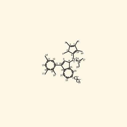 CC1=C(C)C(C)[C]([Zr+2]([CH]2C=C(c3cc(C)cc(C)c3C)c3ccccc32)=[Si](C)C)=C1C.[Cl-].[Cl-]